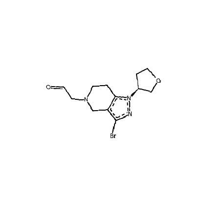 O=CCN1CCc2c(c(Br)nn2[C@H]2CCOC2)C1